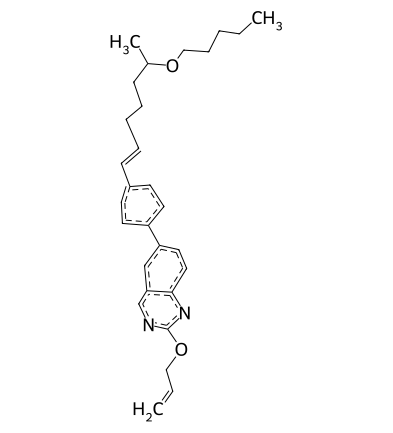 C=CCOc1ncc2cc(-c3ccc(C=CCCCC(C)OCCCCC)cc3)ccc2n1